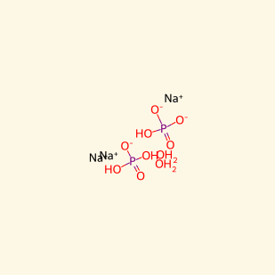 O.O.O=P([O-])(O)O.O=P([O-])([O-])O.[Na+].[Na+].[Na+]